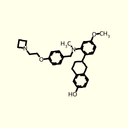 COc1ccc(C2CCc3cc(O)ccc3C2)c(N(C)Cc2ccc(OCCN3CCC3)cc2)c1